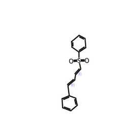 O=S(=O)(/C=C/C=C/c1ccccc1)c1ccccc1